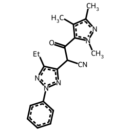 CCc1nn(-c2ccccc2)nc1C(C#N)C(=O)c1c(C)c(C)nn1C